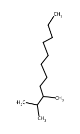 [CH2]C(C)C(C)CCCCCCCC